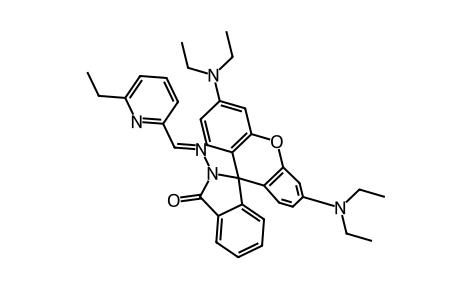 CCc1cccc(/C=N/N2C(=O)c3ccccc3C23c2ccc(N(CC)CC)cc2Oc2cc(N(CC)CC)ccc23)n1